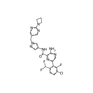 Nc1ncc(-c2c(C(F)F)ccc(Cl)c2F)nc1C(=O)Nc1cnn(Cc2cnc(N3CCC3)nc2)c1